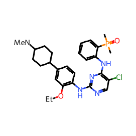 CCOc1cc(C2CCC(NC)CC2)ccc1Nc1ncc(Cl)c(Nc2ccccc2P(C)(C)=O)n1